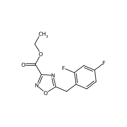 CCOC(=O)c1noc(Cc2ccc(F)cc2F)n1